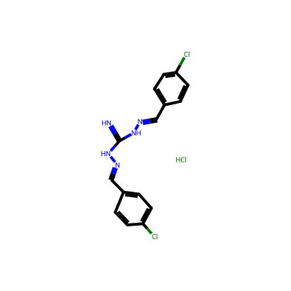 Cl.N=C(NN=Cc1ccc(Cl)cc1)NN=Cc1ccc(Cl)cc1